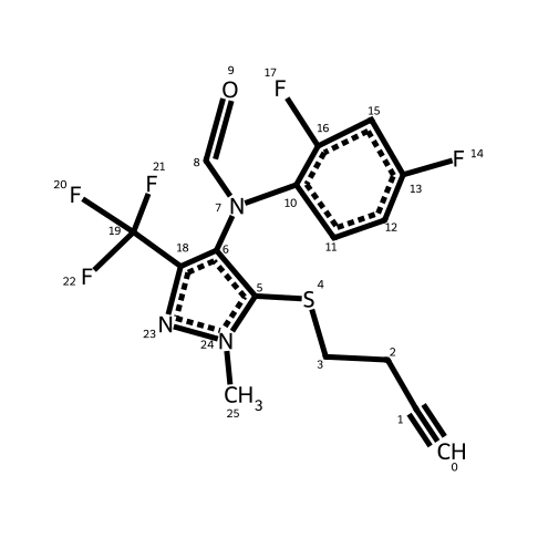 C#CCCSc1c(N(C=O)c2ccc(F)cc2F)c(C(F)(F)F)nn1C